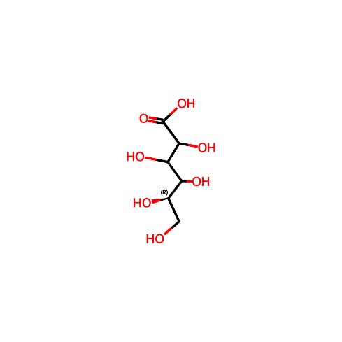 O=C(O)C(O)C(O)C(O)[C@H](O)CO